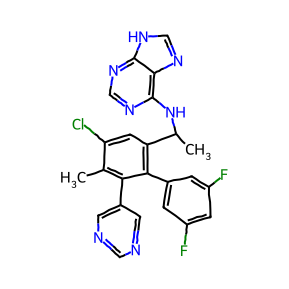 Cc1c(Cl)cc(C(C)Nc2ncnc3[nH]cnc23)c(-c2cc(F)cc(F)c2)c1-c1cncnc1